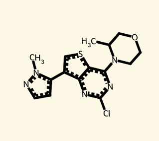 CC1COCCN1c1nc(Cl)nc2c(-c3ccnn3C)csc12